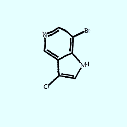 Clc1c[nH]c2c(Br)cncc12